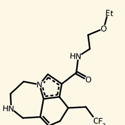 CCOCCNC(=O)c1cn2c3c1C(CC(F)(F)F)CC=C3CNCC2